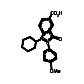 COc1ccc(-n2c(=O)c3cc(C(=O)O)ccc3n2C2CCCCC2)cc1